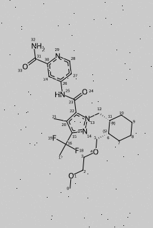 COCCOC[C@H]1CCCC[C@H]1Cn1nc(C(C)(F)F)c(C)c1C(=O)Nc1ccnc(C(N)=O)c1